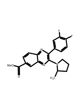 COC(=O)c1ccc2nc(-c3ccc(F)c(F)c3)c(N3CCCC3C)nc2c1